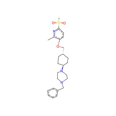 Cc1nc(S(C)(=O)=O)ccc1OC[C@H]1CC[C@H](N2CCN(Cc3ccccc3)CC2)CC1